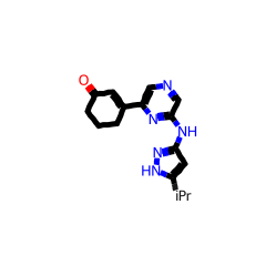 CC(C)c1cc(Nc2cncc(C3=CC(=O)CCC3)n2)n[nH]1